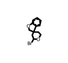 BrC1CC2(CCO1)COc1ccccc12